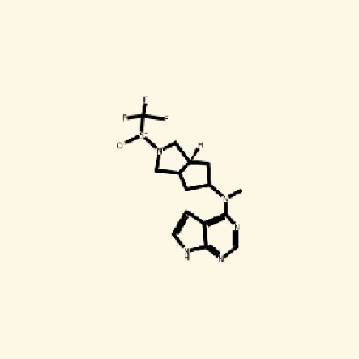 CN(c1ncnc2[nH]ccc12)C1CC2CN([S+]([O-])C(F)(F)F)C[C@@H]2C1